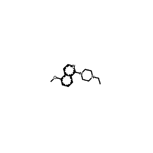 CCN1CCN(c2nccc3c(OC)cccc23)CC1